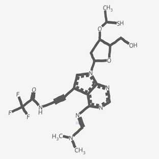 CC(S)OC1CC(n2cc(C#CNC(=O)C(F)(F)F)c3c(/N=C/N(C)C)ncnc32)OC1CO